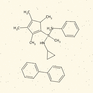 CC1=C(C)C(C)[C]([Ti]([CH3])([NH]C2CC2)[SiH2]c2ccccc2)=C1C.c1ccc(-c2ccccc2)cc1